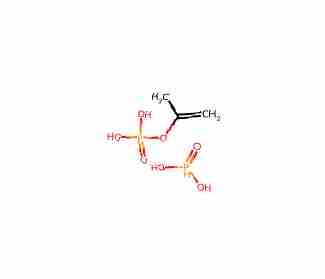 C=C(C)OP(=O)(O)O.O=[PH](O)O